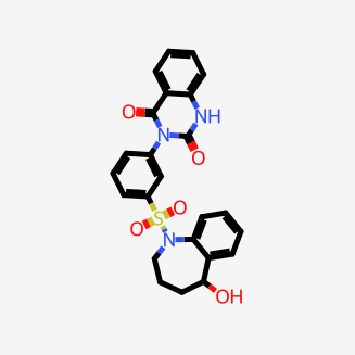 O=c1[nH]c2ccccc2c(=O)n1-c1cccc(S(=O)(=O)N2CCCC(O)c3ccccc32)c1